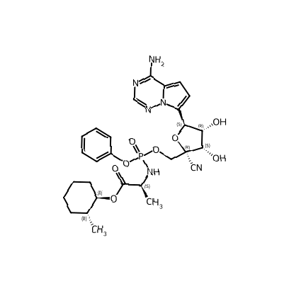 C[C@H](NP(=O)(OC[C@@]1(C#N)O[C@@H](c2ccc3c(N)ncnn23)[C@H](O)[C@@H]1O)Oc1ccccc1)C(=O)O[C@@H]1CCCC[C@H]1C